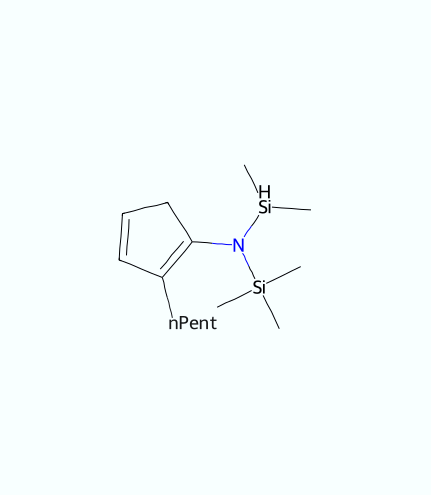 CCCCCC1=C(N([SiH](C)C)[Si](C)(C)C)CC=C1